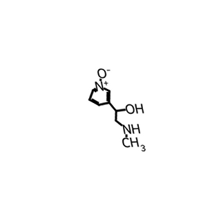 CNCC(O)c1ccc[n+]([O-])c1